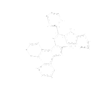 Cc1oc2c(c3c(c4ccccc42)CCC=C3)c1/C=C(/c1ncccn1)c1cc2ccccc2[nH]1